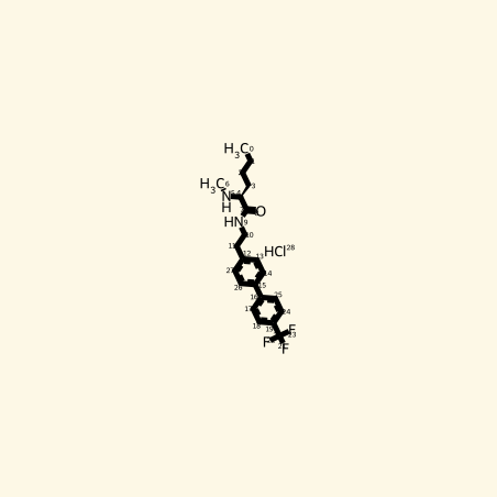 CCCC[C@H](NC)C(=O)NCCc1ccc(-c2ccc(C(F)(F)F)cc2)cc1.Cl